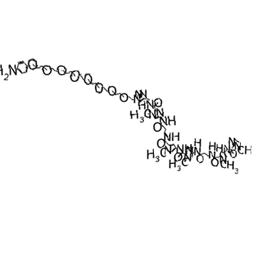 Cn1cc(NC(=O)c2nc(NC(=O)CCNC(=O)c3cc(NC(=O)c4nccn4C)cn3C)cn2C)cc1C(=O)NCCC(=O)Nc1cn(C)c(C(=O)NCc2cn(CCOCCOCCOCCOCCOCCOCCOCCOc3ccc(N)cc3)nn2)n1